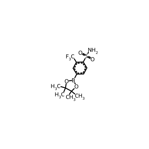 CC1(C)OB(c2ccc(S(N)(=O)=O)c(C(F)(F)F)c2)OC1(C)C